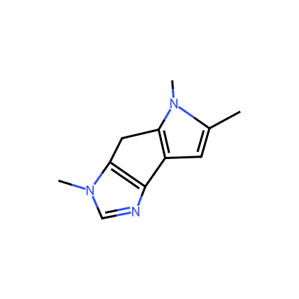 Cc1cc2c(n1C)Cc1c-2ncn1C